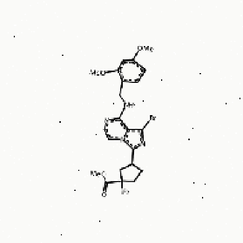 COC(=O)C1(C(C)C)CCC(c2nc(Br)c3c(NCc4ccc(OC)cc4OC)nccn23)C1